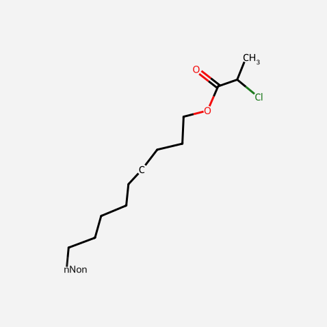 CCCCCCCCCCCCCCCCCCOC(=O)C(C)Cl